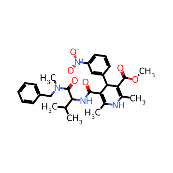 COC(=O)C1=C(C)NC(C)=C(C(=O)NC(C(=O)N(C)Cc2ccccc2)C(C)C)C1c1cccc([N+](=O)[O-])c1